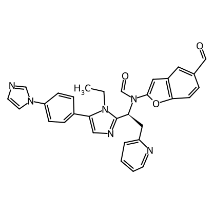 CCn1c(-c2ccc(-n3ccnc3)cc2)cnc1[C@H](Cc1ccccn1)N(C=O)c1cc2cc(C=O)ccc2o1